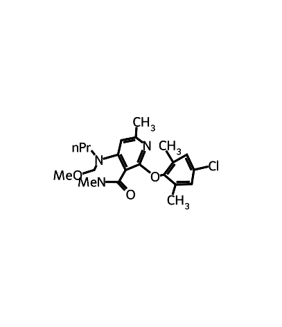 CCCN(COC)c1cc(C)nc(Oc2c(C)cc(Cl)cc2C)c1C(=O)NC